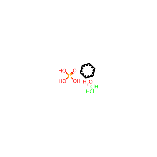 Cl.Cl.O.O=P(O)(O)O.c1ccccc1